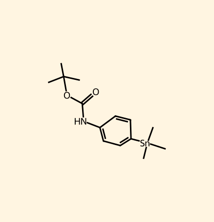 CC(C)(C)OC(=O)Nc1cc[c]([Sn]([CH3])([CH3])[CH3])cc1